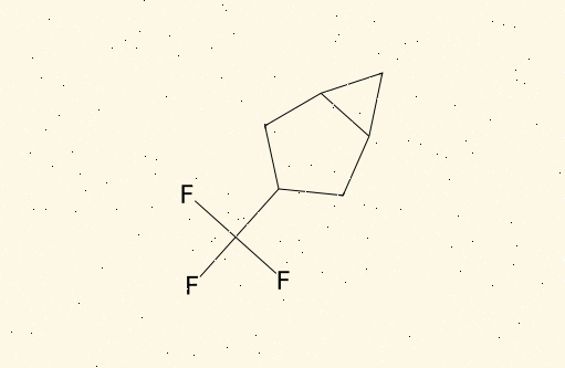 FC(F)(F)C1CC2CC2C1